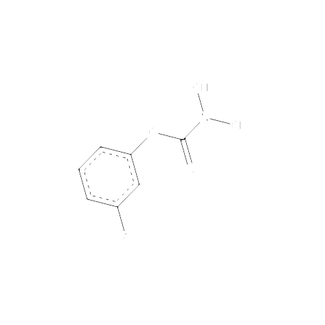 CC(=O)c1cccc(OC(=S)N(C)C)c1